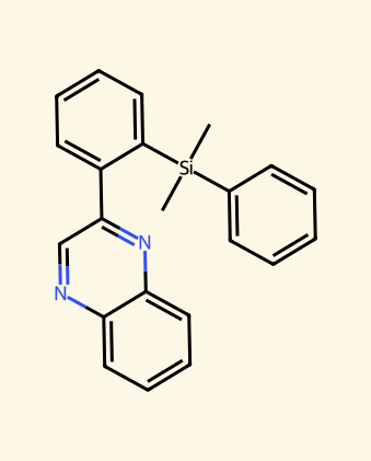 C[Si](C)(c1ccccc1)c1ccccc1-c1cnc2ccccc2n1